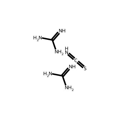 N=C(N)N.N=C(N)N.N=C=S